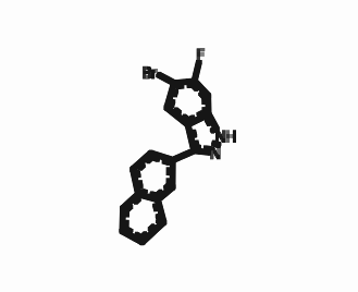 Fc1cc2[nH]nc(-c3ccc4ccccc4c3)c2cc1Br